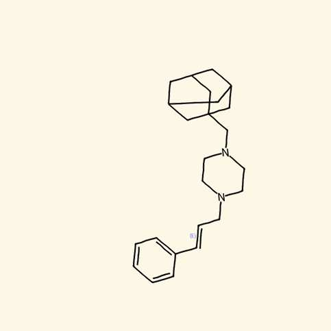 C(=C\c1ccccc1)/CN1CCN(CC23CC4CC(CC(C4)C2)C3)CC1